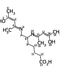 C/C(O)=C/C(C)=N/CC(CCCCC(=O)O)/N=C(C)/C=C(/C)O